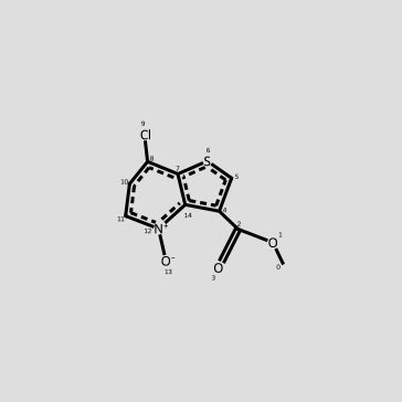 COC(=O)c1csc2c(Cl)cc[n+]([O-])c12